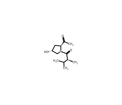 CC(=O)[C@@H]1C[C@@H](O)CN1C(=O)[C@@H](C)C(C)C